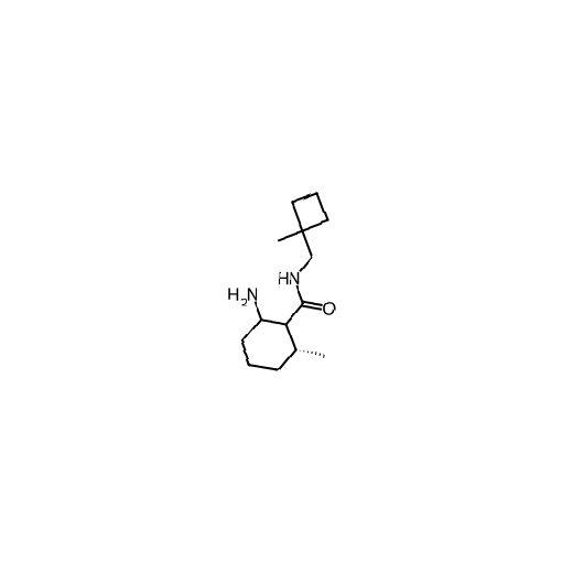 C[C@@H]1CCCC(N)C1C(=O)NCC1(C)CCC1